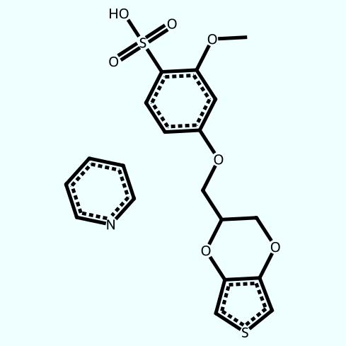 COc1cc(OCC2COc3cscc3O2)ccc1S(=O)(=O)O.c1ccncc1